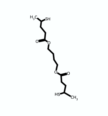 CC(S)CCC(=O)OCCCCOC(=O)CCC(C)S